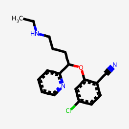 CCNCCCC(Oc1cc(Cl)ccc1C#N)c1ccccn1